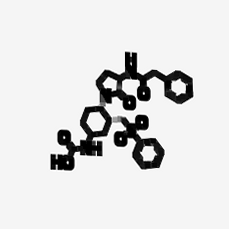 O=C(O)NC1CC[C@H](N2CCC(NC(=O)Cc3ccccc3)C2=O)[C@H](CS(=O)(=O)c2ccccc2)C1